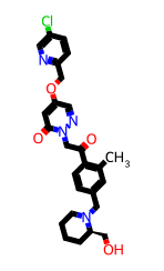 Cc1cc(CN2CCCC[C@@H]2CO)ccc1C(=O)Cn1ncc(OCc2ccc(Cl)cn2)cc1=O